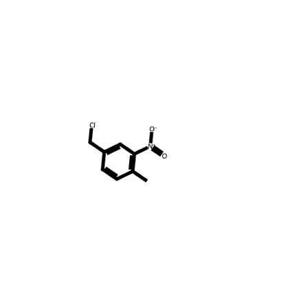 Cc1ccc(CCl)cc1[N+](=O)[O-]